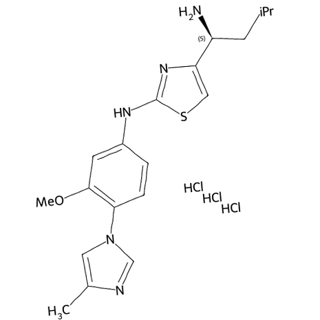 COc1cc(Nc2nc([C@@H](N)CC(C)C)cs2)ccc1-n1cnc(C)c1.Cl.Cl.Cl